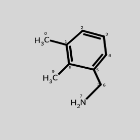 Cc1cccc([C]N)c1C